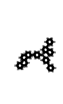 c1ccc(-c2ccc(N(c3ccc(-c4ccc5ccc6c7ccccc7ccc6c5c4)cc3)c3ccc(-c4ccccc4)c4ccccc34)cc2)cc1